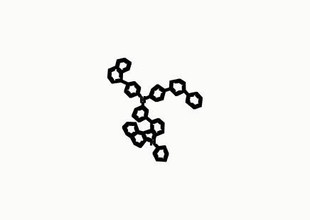 c1ccc(-c2cccc(-c3ccc(N(c4ccc(-c5cccc6ccccc56)cc4)c4cccc(-c5cccc6c5c5c7ccccc7ccc5n6-c5ccccc5)c4)cc3)c2)cc1